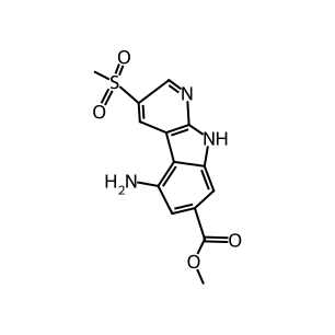 COC(=O)c1cc(N)c2c(c1)[nH]c1ncc(S(C)(=O)=O)cc12